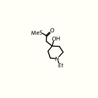 CCN1CCC(O)(CC(=O)SC)CC1